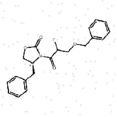 O=C1OC[C@H](Cc2ccccc2)N1C(=O)C(F)COCc1ccccc1